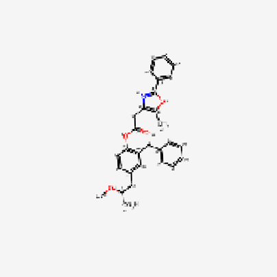 CCOC(Cc1ccc(OC(=O)Cc2nc(-c3ccccc3)oc2C)c(Cc2ccccc2)c1)C(=O)O